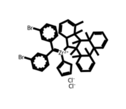 CC1=CC=CC2[CH]([Zr+2]([C]3=CC=CC3)=[C](c3cccc(Br)c3)c3cccc(Br)c3)C3(C)C4(C)C=CC=CC4(C)C4(C)C=CC=CC4(C)C3(C)C12C.[Cl-].[Cl-]